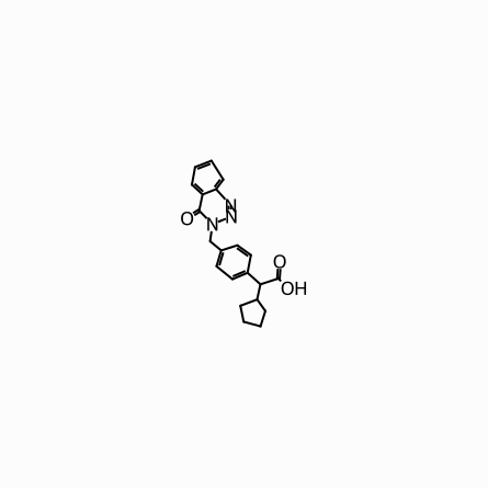 O=C(O)C(c1ccc(Cn2nnc3ccccc3c2=O)cc1)C1CCCC1